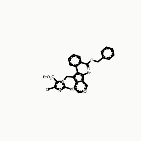 CCCCc1nc(Cl)c(C(=O)OCC)n1Cc1c2ccocc-2c(Br)c1-c1ccccc1C(=O)OCc1ccccc1